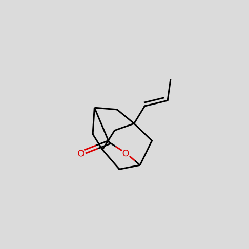 CC=CC12CC3CC(C1)OC(=O)C(C3)C2